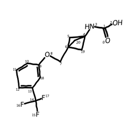 O=C(O)NC12CC(COc3cccc(C(F)(F)F)c3)(C1)C2